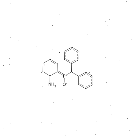 NC1C=CC=CC1=[P+]([O-])C(c1ccccc1)c1ccccc1